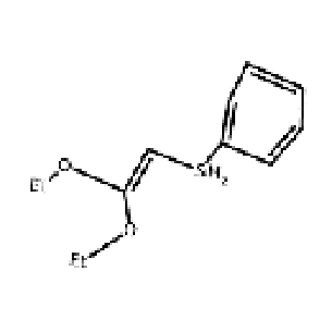 CCOC(=C[SiH2]c1ccccc1)OCC